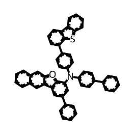 c1ccc(-c2ccc(N(c3ccc(-c4cccc5c4sc4ccccc45)cc3)c3cc(-c4ccccc4)cc4c3oc3cc5ccccc5cc34)cc2)cc1